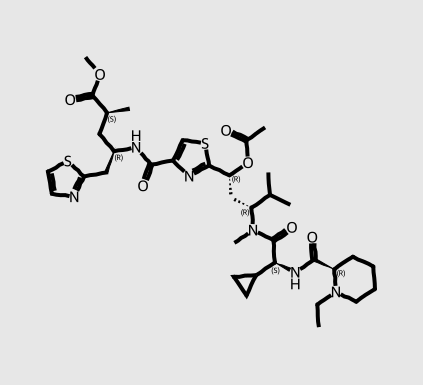 CCN1CCCC[C@@H]1C(=O)N[C@H](C(=O)N(C)[C@H](C[C@@H](OC(C)=O)c1nc(C(=O)N[C@@H](Cc2nccs2)C[C@H](C)C(=O)OC)cs1)C(C)C)C1CC1